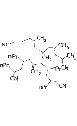 C=C(CC(C)CCCC#N)CC(C)CC(C)C#N.C=C(CC(CCC)CC(C#N)CCC)CC(CCC)CC(CC#N)CCC